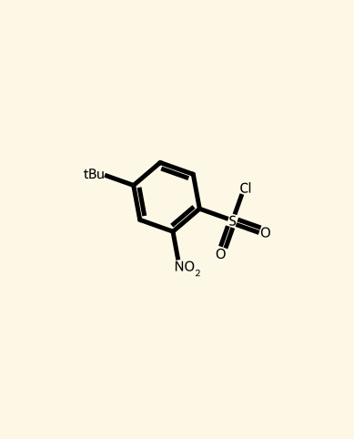 CC(C)(C)c1ccc(S(=O)(=O)Cl)c([N+](=O)[O-])c1